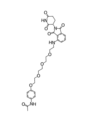 CC(=O)Nc1ccc(OCCOCCOCCOCCNc2cccc3c2C(=O)N(C2CCC(=O)NC2=O)C3=O)cc1